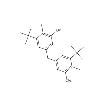 Cc1c(O)cc(Cc2cc(O)c(C)c(C(C)(C)C)c2)cc1C(C)(C)C